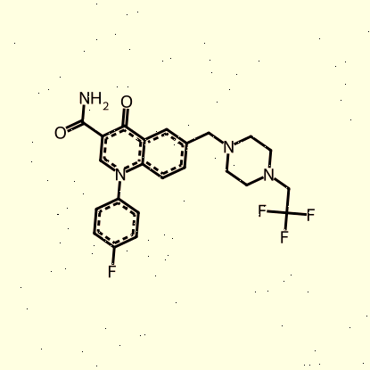 NC(=O)c1cn(-c2ccc(F)cc2)c2ccc(CN3CCN(CC(F)(F)F)CC3)cc2c1=O